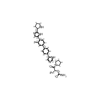 CC(C)[C@H](OC(N)=O)C(=O)N1CCC[C@H]1c1ncc(-c2ccc(-c3ccc(-c4cnc(C5CCCN5)[nH]4)c(F)c3)cc2)[nH]1